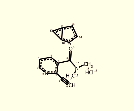 C#Cc1ncccc1C(=O)N(C)C.Cl.c1cc2cc-2c1